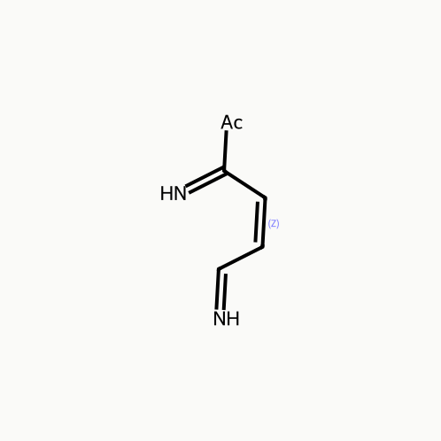 CC(=O)C(=N)/C=C\C=N